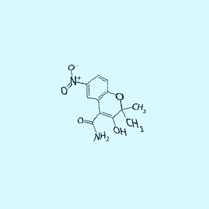 CC1(C)Oc2ccc([N+](=O)[O-])cc2C(C(N)=O)=C1O